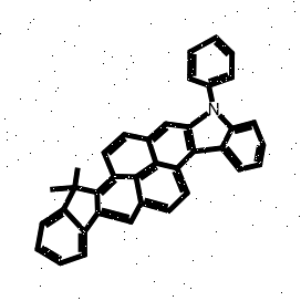 CC1(C)c2ccccc2-c2cc3ccc4c5c(ccc(c21)c35)cc1c4c2ccccc2n1-c1ccccc1